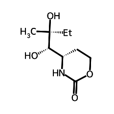 CC[C@](C)(O)[C@@H](O)[C@@H]1CCOC(=O)N1